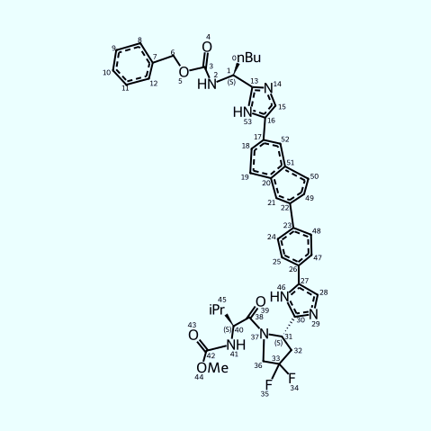 CCCC[C@H](NC(=O)OCc1ccccc1)c1ncc(-c2ccc3cc(-c4ccc(-c5cnc([C@@H]6CC(F)(F)CN6C(=O)[C@@H](NC(=O)OC)C(C)C)[nH]5)cc4)ccc3c2)[nH]1